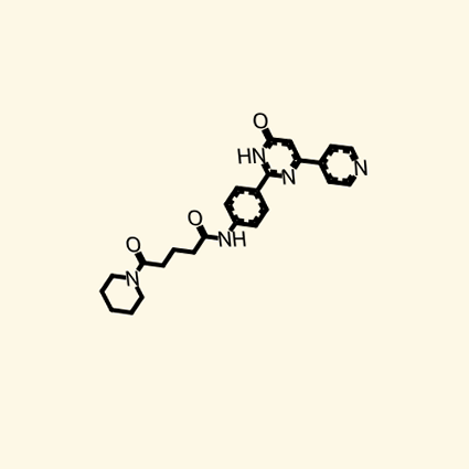 O=C(CCCC(=O)N1CCCCC1)Nc1ccc(-c2nc(-c3ccncc3)cc(=O)[nH]2)cc1